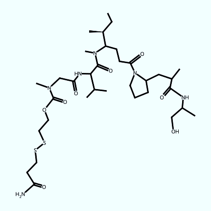 CC[C@H](C)C(CCC(=O)N1CCCC1CC(C)C(=O)NC(C)CO)N(C)C(=O)C(NC(=O)CN(C)C(=O)OCCSSCCC(N)=O)C(C)C